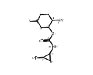 CC1CCC(C(C)C)C(OC(=O)NC2CC2F)C1